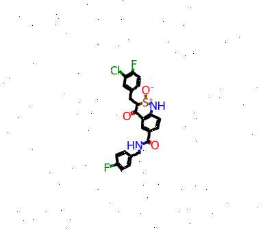 O=C(NCc1ccc(F)cc1)c1ccc2c(c1)C(=O)C(Cc1ccc(F)c(Cl)c1)[S+]([O-])N2